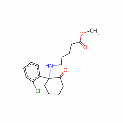 COC(=O)CCCCN[C@@]1(c2ccccc2Cl)CCCCC1=O